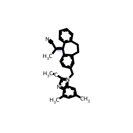 CCc1nc2c(C)cc(C)cc2n1Cc1ccc2c(c1)CCc1ccccc1/C2=C(/C)C#N